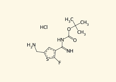 CC(C)(C)OC(=O)NC(=N)c1cc(CN)sc1F.Cl